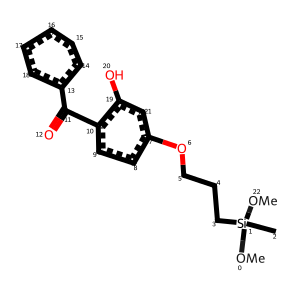 CO[Si](C)(CCCOc1ccc(C(=O)c2ccccc2)c(O)c1)OC